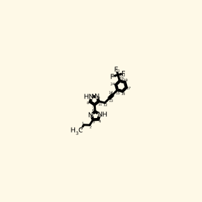 CCCc1c[nH]c(-c2c[nH]nc2CC#Cc2cccc(C(F)(F)F)c2)n1